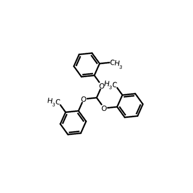 Cc1ccccc1OC(Oc1ccccc1C)Oc1ccccc1C